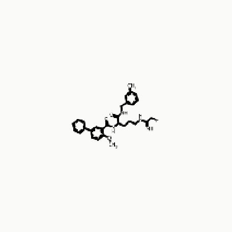 COc1ccc(-c2ccccc2)cc1C(=O)NC(CCCNC(=N)CF)C(=O)NCc1cccc(C)c1